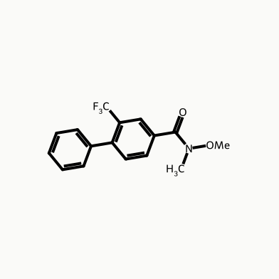 CON(C)C(=O)c1ccc(-c2ccccc2)c(C(F)(F)F)c1